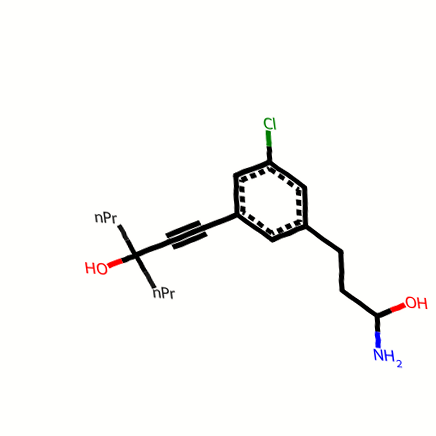 CCCC(O)(C#Cc1cc(Cl)cc(CCC(N)O)c1)CCC